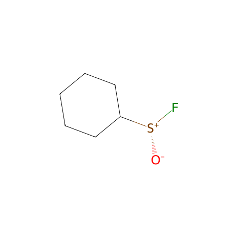 [O-][S@@+](F)C1CCCCC1